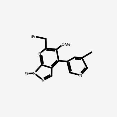 CCn1ncc2c(-c3cncc(C)c3)c(OC)c(CC(C)C)nc21